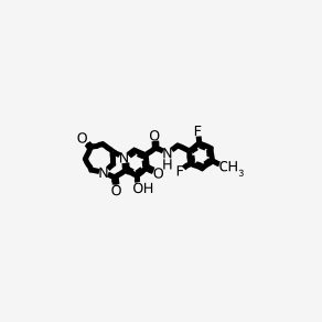 Cc1cc(F)c(CNC(=O)c2cn3c(c(O)c2=O)C(=O)N2CCC(=O)CC3C2)c(F)c1